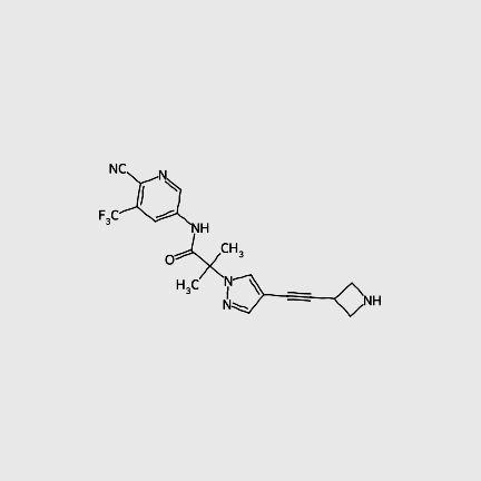 CC(C)(C(=O)Nc1cnc(C#N)c(C(F)(F)F)c1)n1cc(C#CC2CNC2)cn1